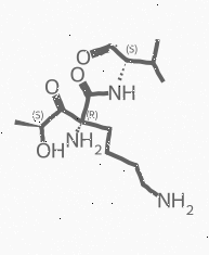 CC(C)[C@@H]([C]=O)NC(=O)[C@@](N)(CCCCN)C(=O)[C@H](C)O